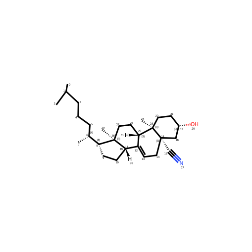 CC(C)CCC[C@@H](C)[C@H]1CC[C@H]2C3=CC[C@]4(C#N)C[C@@H](O)CC[C@]4(C)[C@H]3CC[C@]12C